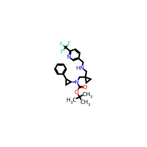 CC(C)(C)OC(=O)N(CC1(CNCc2ccc(C(F)(F)F)nc2)CC1)[C@H]1CC1c1ccccc1